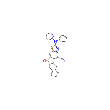 N#CC(C#N)=C1/C(=C\c2ccc(N(c3ccccc3)c3ccccn3)s2)C(=O)c2cc3ccccc3cc21